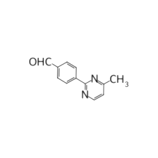 Cc1ccnc(-c2ccc(C=O)cc2)n1